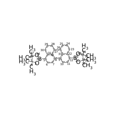 CC1(C)OB(c2ccc3c4ccc(B5OC(C)(C)C(C)(C)O5)c5cccc(c6cccc2c63)c54)OC1(C)C